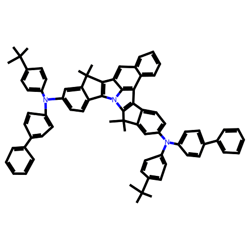 CC(C)(C)c1ccc(N(c2ccc(-c3ccccc3)cc2)c2ccc3c(c2)C(C)(C)c2c-3n3c4c(c5c6ccccc6cc2c53)-c2ccc(N(c3ccc(-c5ccccc5)cc3)c3ccc(C(C)(C)C)cc3)cc2C4(C)C)cc1